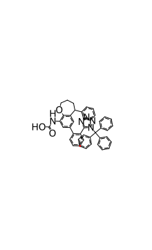 O=C(O)Nc1cc(-c2ccccc2-c2nnnn2C(c2ccccc2)(c2ccccc2)c2ccccc2)cc2c1OCCCC2c1ccccc1